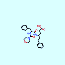 O=C(O)CCC(CCc1ccccc1)NC(=O)C(Cc1ccccc1)NC(=O)N1CCOCC1